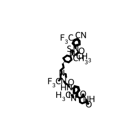 Cn1nc(C2CCC(=O)NC2=O)c2cccc(NC(=O)CN3CCN(CCC[C@H]4CC[C@H](N5C(=S)N(c6ccc(C#N)c(C(F)(F)F)c6)C(=O)C5(C)C)CC4)CC3C(F)(F)F)c21